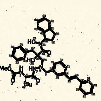 COC(=O)N[C@H](C(=O)NN(Cc1cccc(C=Cc2ccccc2)c1)C[C@@](O)(Cc1ccccc1)C(=O)N(O)C1CCc2ccccc21)C(C)(C)C